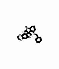 CN1C(=O)C2(COc3cc4c(cc32)OCCO4)C2=C(OCc3ccccc3)C=CCC21